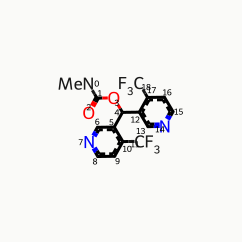 CNC(=O)OC(c1cnccc1C(F)(F)F)c1cnccc1C(F)(F)F